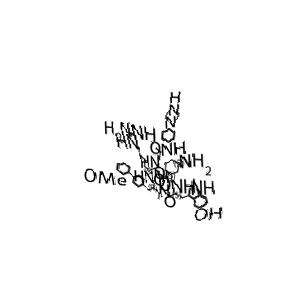 COc1ccccc1-c1ccc(C[C@@H](C(=O)N[C@@H](CCCCNC(=N)N)C(=O)NCC(=O)Nc2ccc(N3CCNCC3)cc2)C(C)NC(=O)[C@H](Cc2c[nH]c3ccc(O)cc23)NC(=O)[C@H]2CCC[C@H](N)C2)cc1